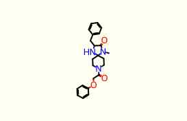 CN1C(=O)C(Cc2ccccc2)NC12CCN(C(=O)COc1ccccc1)CC2